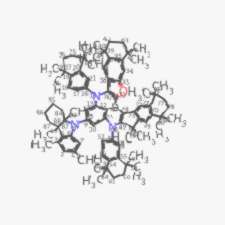 Cc1cc(C)c2c(c1)N(c1cc3c4c(c1)N(c1ccc5c(c1)C(C)(C)CCC5(C)C)c1c(oc5cc6c(cc15)C(C)(C)CCC6(C)C)B4C1=C(N3c3ccc4c(c3)C(C)(C)CCC4(C)C)C(C)(C)c3cc4c(cc31)C(C)(C)CCC4(C)C)C1(C)CCCCC21C